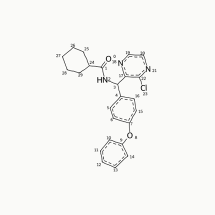 O=C(NC(c1ccc(Oc2ccccc2)cc1)c1nccnc1Cl)C1CCCCC1